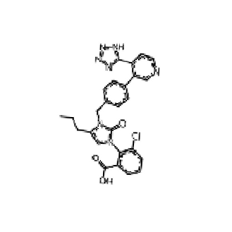 CCCc1cn(-c2c(Cl)cccc2C(=O)O)c(=O)n1Cc1ccc(-c2cnccc2-c2nnn[nH]2)cc1